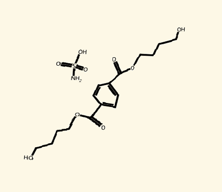 NS(=O)(=O)O.O=C(OCCCCO)c1ccc(C(=O)OCCCCO)cc1